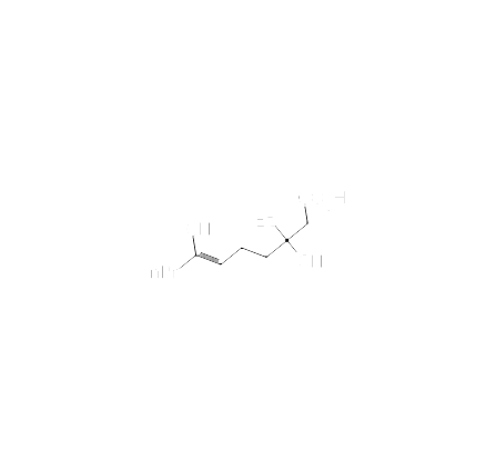 CCC/C(C)=C/CCC(C)(CC)CC(=O)O